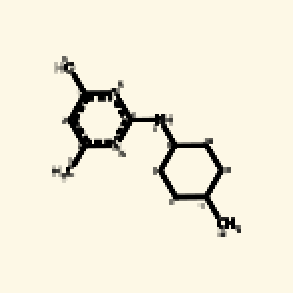 Cc1cc(O)nc(NC2CCC(C)CC2)n1